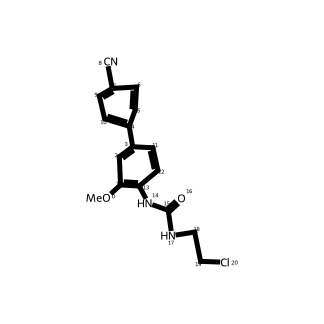 COc1cc(-c2ccc(C#N)cc2)ccc1NC(=O)NCCCl